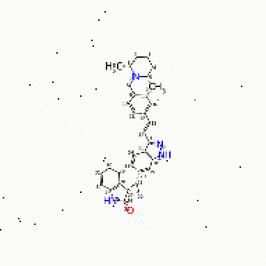 C[C@@H]1CCC[C@H](C)N1Cc1ccc(/C=C/c2n[nH]c3cc([C@@H]4C[C@@]45C(=O)NC4=C5CCC=C4)ccc23)cc1